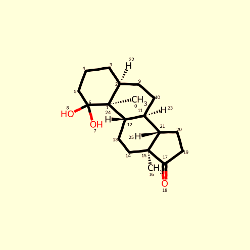 C[C@@]12[C@@H](CCCC1(O)O)CC[C@@H]1[C@@H]2CC[C@]2(C)C(=O)CC[C@@H]12